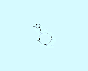 C/C1=C\CC(/C(C)=C/c2cccc(C)n2)OC(=O)CSC(C)(C)C(=O)[C@H](C)[C@@H](O)/C(C)=C/CC1